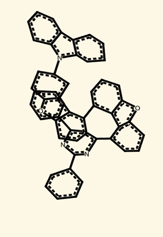 c1ccc(-c2nc(-c3ccccc3)nc(-c3cccc4oc5cccc(-c6cccc7oc8ccc(-n9c%10ccccc%10c%10ccccc%109)cc8c67)c5c34)n2)cc1